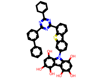 Oc1cc(O)c2c(c1O)c1c(O)c(O)cc(O)c1n2-c1ccc2c(c1)sc1c(-c3nc(C4=CC=CCC4)nc(-c4cccc(-c5ccccc5)c4)n3)cccc12